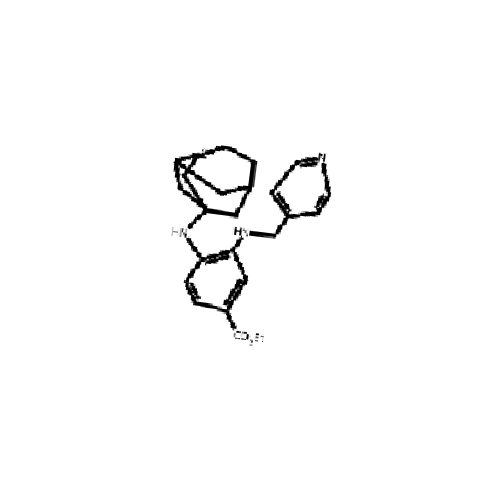 CCOC(=O)c1ccc(NC23CCC4CC(CC(C4)C2)C3)c(NCc2ccncc2)c1